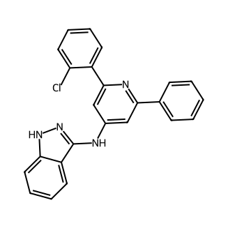 Clc1ccccc1-c1cc(Nc2n[nH]c3ccccc23)cc(-c2ccccc2)n1